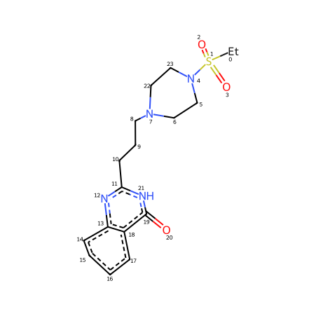 CCS(=O)(=O)N1CCN(CCCc2nc3ccccc3c(=O)[nH]2)CC1